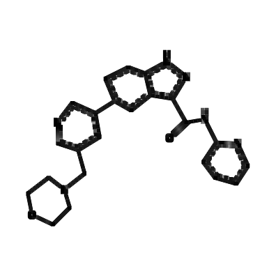 O=C(Nc1ccccn1)c1n[nH]c2ccc(-c3cncc(CN4CCOCC4)c3)cc12